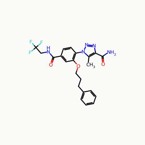 Cc1c(C(N)=O)nnn1-c1ccc(C(=O)NCC(F)(F)F)cc1OCCCc1ccccc1